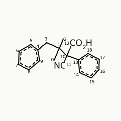 CC(C)(Cc1ccccc1)C(C#N)(C(=O)O)c1ccccc1